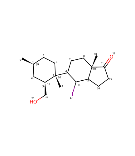 C[C@H]1CC[C@](C)(C2CC[C@]3(C)C(=O)CCC3C2I)[C@@H](CO)C1